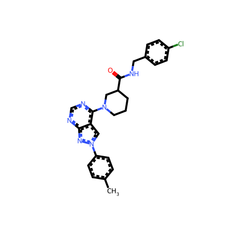 Cc1ccc(-n2cc3c(N4CCCC(C(=O)NCc5ccc(Cl)cc5)C4)ncnc3n2)cc1